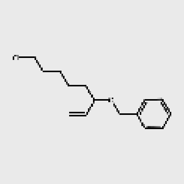 C=CC(CCCCCCl)OCc1ccccc1